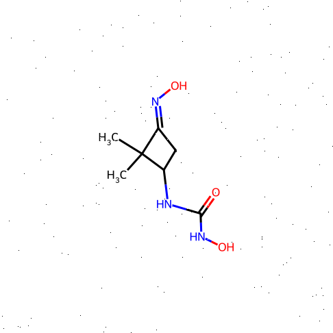 CC1(C)C(=NO)CC1NC(=O)NO